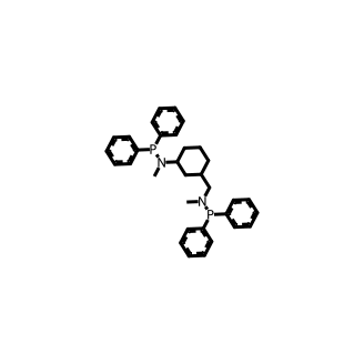 CN(CC1CCCC(N(C)P(c2ccccc2)c2ccccc2)C1)P(c1ccccc1)c1ccccc1